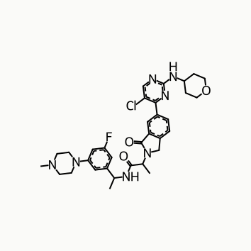 CC(NC(=O)C(C)N1Cc2ccc(-c3nc(NC4CCOCC4)ncc3Cl)cc2C1=O)c1cc(F)cc(N2CCN(C)CC2)c1